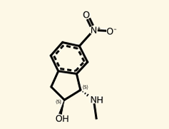 CN[C@H]1c2cc([N+](=O)[O-])ccc2C[C@@H]1O